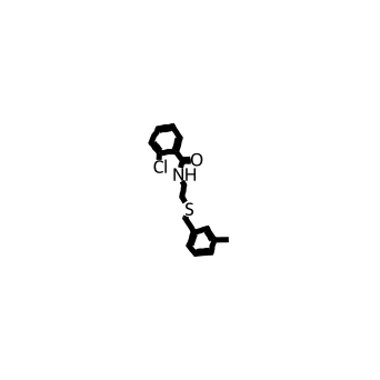 Cc1cccc(CSCCNC(=O)c2ccccc2Cl)c1